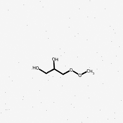 COOCC(O)CO